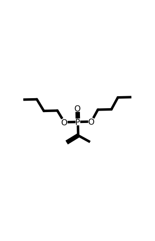 C=C(C)P(=O)(OCCCC)OCCCC